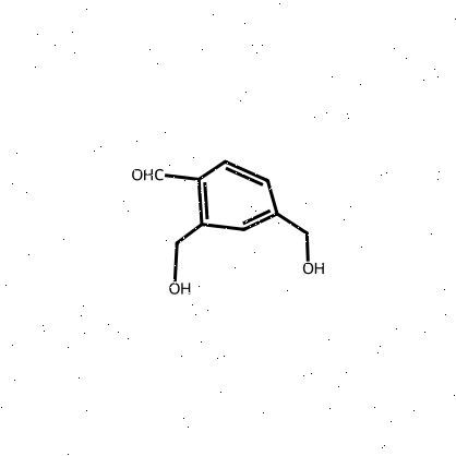 O=Cc1ccc(CO)cc1CO